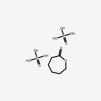 O=C1CCCCCO1.O=P(O)(O)O.O=P(O)(O)O